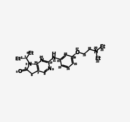 CCC(CC)N1C(=O)Cc2cnc(Nc3cccc(OCCN(CC)CC)c3)nc21